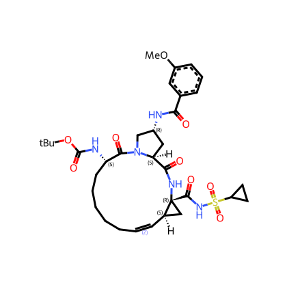 COc1cccc(C(=O)N[C@@H]2C[C@H]3C(=O)N[C@]4(C(=O)NS(=O)(=O)C5CC5)C[C@H]4/C=C\CCCCC[C@H](NC(=O)OC(C)(C)C)C(=O)N3C2)c1